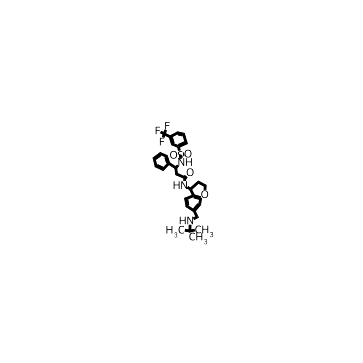 CC(C)(C)NCc1ccc2c(c1)OCCC2NC(=O)CC(NS(=O)(=O)c1cccc(C(F)(F)F)c1)c1ccccc1